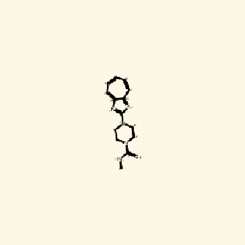 CNC(=S)N1CCN(c2nc3cccccc-3n2)CC1